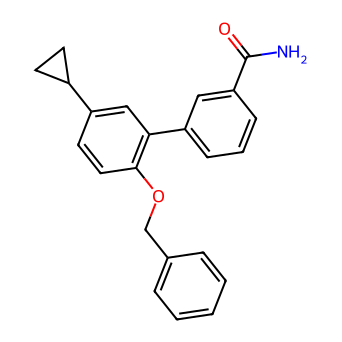 NC(=O)c1cccc(-c2cc(C3CC3)ccc2OCc2ccccc2)c1